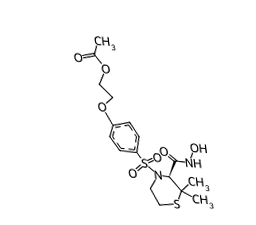 CC(=O)OCCOc1ccc(S(=O)(=O)N2CCSC(C)(C)[C@@H]2C(=O)NO)cc1